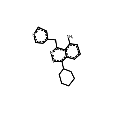 Nc1cccc2c(C3CCCCC3)nnc(Cc3ccncc3)c12